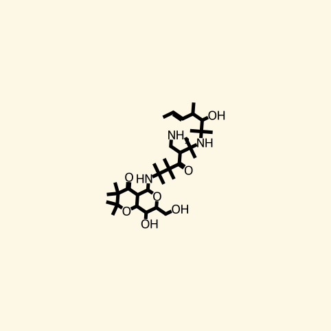 CC=CC(C)C(O)C(C)(C)NC(C)(C)C(CN)C(=O)C(C)(C)C(C)(C)NC1OC(CO)C(O)C2OC(C)(C)C(C)(C)C(=O)C12